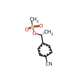 C[C@@H](OS(C)(=O)=O)c1ccc(C#N)cc1